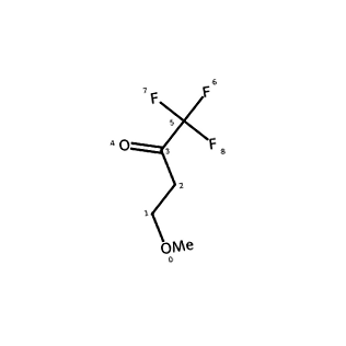 COCCC(=O)C(F)(F)F